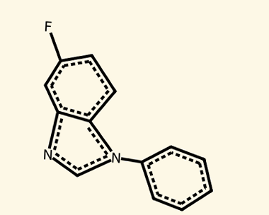 Fc1ccc2c(c1)ncn2-c1ccccc1